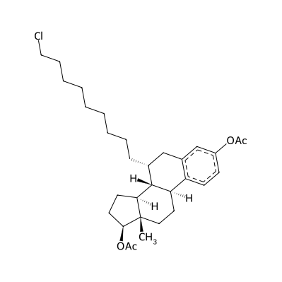 CC(=O)Oc1ccc2c(c1)C[C@@H](CCCCCCCCCCl)[C@@H]1[C@@H]2CC[C@]2(C)[C@@H](OC(C)=O)CC[C@@H]12